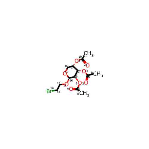 CC(=O)O[C@@H]1[C@@H](OC(C)=O)[C@@H](OCCBr)OC[C@@H]1OC(C)=O